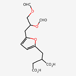 O=COCC(Cc1ccc(CC(CC(=O)O)C(=O)O)o1)OC=O